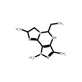 CCC1Nc2c(C)nn(C)c2C2=NC(C)CN21